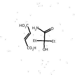 CCC(O)(CC)C(N)=O.O=C(O)/C=C/C(=O)O